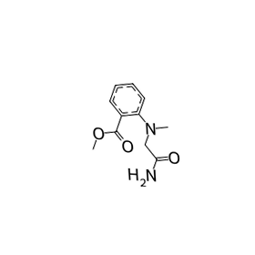 COC(=O)c1ccccc1N(C)CC(N)=O